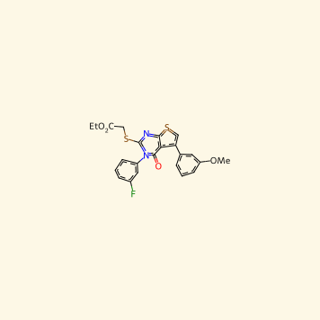 CCOC(=O)CSc1nc2scc(-c3cccc(OC)c3)c2c(=O)n1-c1cccc(F)c1